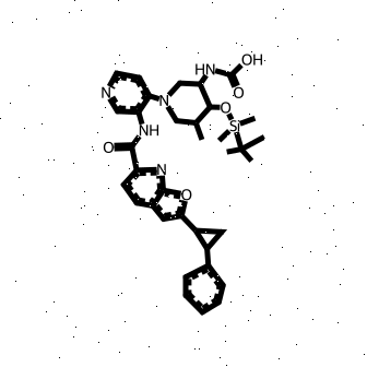 CC1CN(c2ccncc2NC(=O)c2ccc3cc(C4CC4c4ccccc4)oc3n2)CC(NC(=O)O)C1O[Si](C)(C)C(C)(C)C